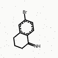 N=C1CCCc2cc(Br)ccc21